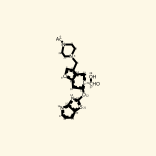 CC(=O)N1CCN(Cc2coc3cc(Oc4nc5ncccc5s4)ccc23)CC1.O=CO